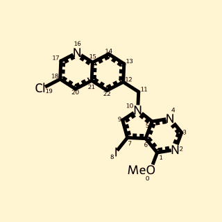 COc1ncnc2c1c(I)cn2Cc1ccc2ncc(Cl)cc2c1